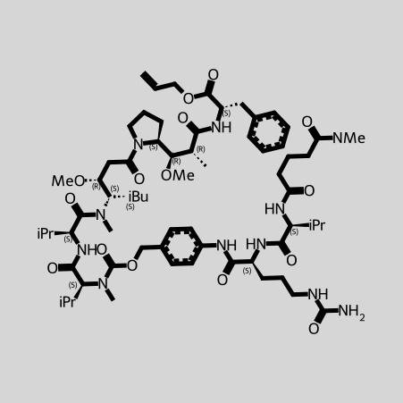 C=CCOC(=O)[C@H](Cc1ccccc1)NC(=O)[C@H](C)[C@@H](OC)[C@@H]1CCCN1C(=O)C[C@@H](OC)[C@H]([C@@H](C)CC)N(C)C(=O)[C@@H](NC(=O)[C@H](C(C)C)N(C)C(=O)OCc1ccc(NC(=O)[C@H](CCCNC(N)=O)NC(=O)[C@@H](NC(=O)CCCC(=O)NC)C(C)C)cc1)C(C)C